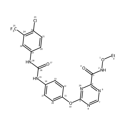 CCONC(=O)c1ncnc(Oc2ccc(NC(=O)Nc3ccc(Cl)c(C(F)(F)F)c3)cc2)n1